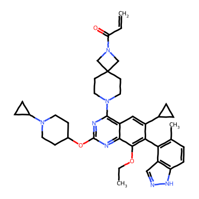 C=CC(=O)N1CC2(CCN(c3nc(OC4CCN(C5CC5)CC4)nc4c(OCC)c(-c5c(C)ccc6[nH]ncc56)c(C5CC5)cc34)CC2)C1